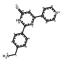 NCc1ccc(-c2nc(-c3ccncc3)cc(=O)[nH]2)cc1